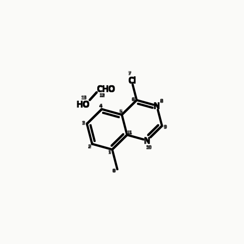 Cc1cccc2c(Cl)ncnc12.O=CO